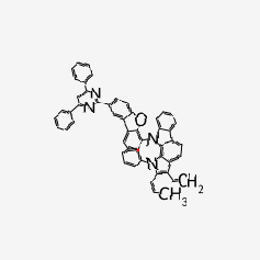 C=Cc1c(/C=C\C)n(-c2ccccc2)c2c1ccc1c3ccccc3n(-c3cccc4c3oc3ccc(-c5nc(-c6ccccc6)cc(-c6ccccc6)n5)cc34)c12